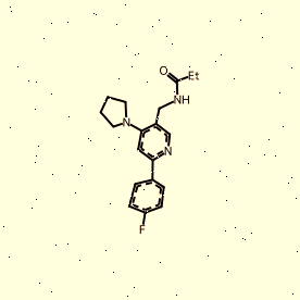 CCC(=O)NCc1cnc(-c2ccc(F)cc2)cc1N1CCCC1